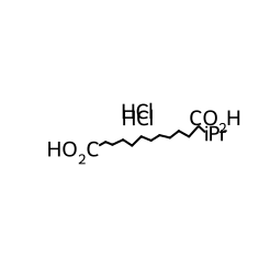 CC(C)C(CCCCCCCCCCC(=O)O)C(=O)O.Cl.Cl